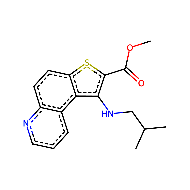 COC(=O)c1sc2ccc3ncccc3c2c1NCC(C)C